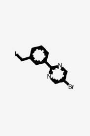 Brc1cnc(-c2cccc(CI)c2)nc1